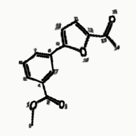 COC(=O)c1cccc(-c2ccc(C(C)=O)o2)c1